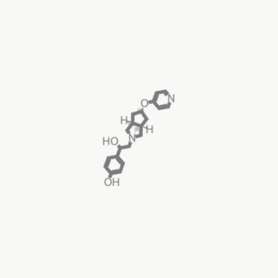 Oc1ccc(C(O)CN2C[C@H]3C[C@H](Oc4ccncc4)C[C@H]3C2)cc1